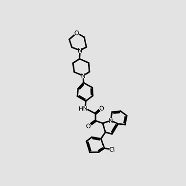 O=C(Nc1ccc(N2CCC(N3CCOCC3)CC2)cc1)C(=O)C1C(c2ccccc2Cl)C=C2C=CC=CN21